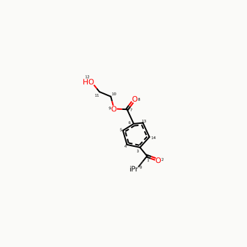 CC(C)C(=O)c1ccc(C(=O)OCCO)cc1